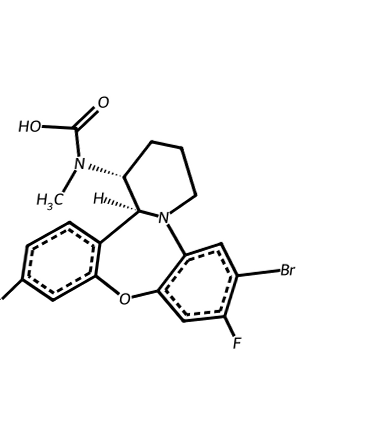 CN(C(=O)O)[C@@H]1CCCN2c3cc(Br)c(F)cc3Oc3cc(F)ccc3[C@@H]12